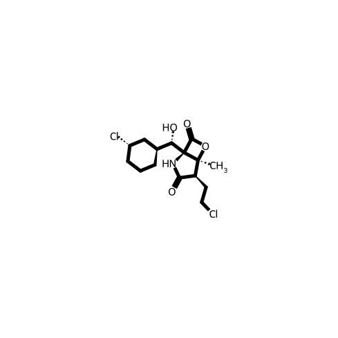 C[C@@]12OC(=O)[C@]1([C@@H](O)[C@H]1CCC[C@H](Cl)C1)NC(=O)[C@@H]2CCCl